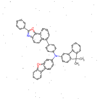 CC1(C)c2ccccc2-c2cc(N(c3ccc(-c4cccc5c4ccc4nc(-c6ccccc6)oc45)cc3)c3ccc4c(c3)oc3ccccc34)ccc21